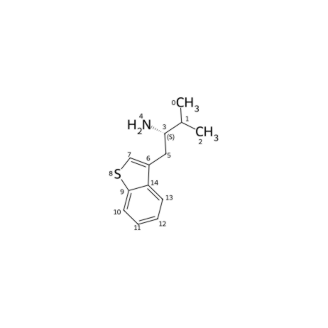 CC(C)[C@@H](N)Cc1csc2ccccc12